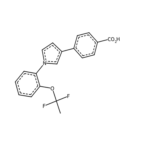 CC(F)(F)Oc1ccccc1-n1ccc(-c2ccc(C(=O)O)cc2)c1